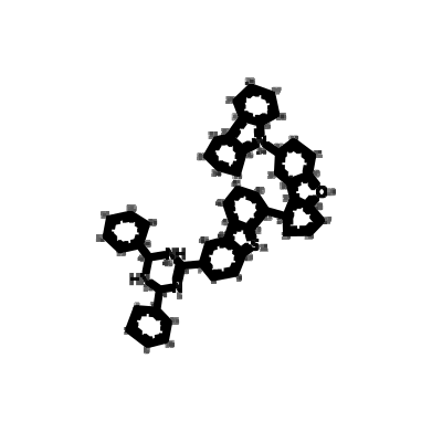 c1ccc(C2N=C(c3ccc4sc5c(-c6cccc7oc8ccc(-n9c%10ccccc%10c%10ccccc%109)cc8c67)cccc5c4c3)NC(c3ccccc3)N2)cc1